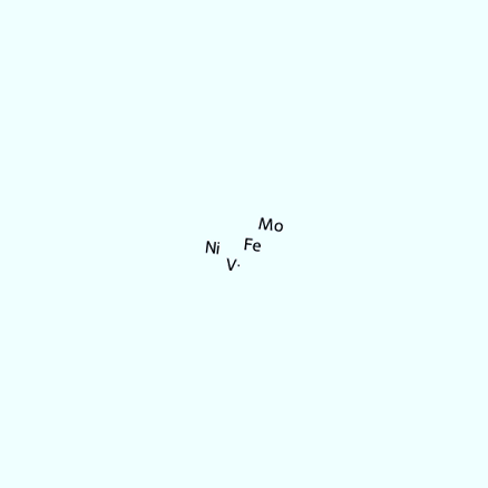 [Fe].[Mo].[Ni].[V]